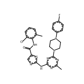 Cc1nc(Nc2ncc(C(=O)Nc3c(C)cccc3Cl)s2)nc(N2CCN(c3ccc(F)cc3)CC2)n1